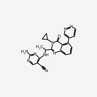 CC(Nc1nc(N)ncc1C#N)c1nc2cccc(-c3ccnnc3)c2c(=O)n1C1CC1